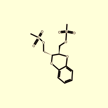 CS(=O)(=O)OC[C@H]1Oc2ccccc2O[C@@H]1COS(C)(=O)=O